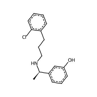 C[C@@H](NCCCc1ccccc1Cl)c1cccc(O)c1